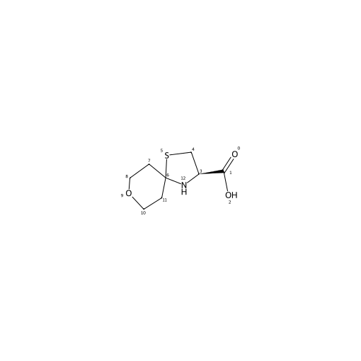 O=C(O)[C@@H]1CSC2(CCOCC2)N1